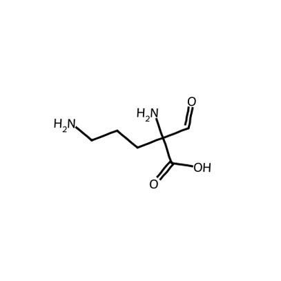 NCCCC(N)(C=O)C(=O)O